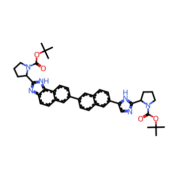 CC(C)(C)OC(=O)N1CCCC1c1ncc(-c2ccc3cc(-c4ccc5c(ccc6nc(C7CCCN7C(=O)OC(C)(C)C)[nH]c65)c4)ccc3c2)[nH]1